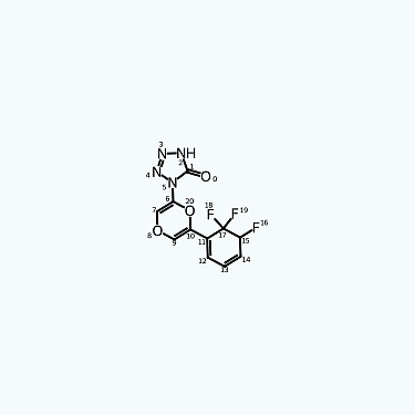 O=c1[nH]nnn1C1=COC=C(C2=CC=CC(F)C2(F)F)O1